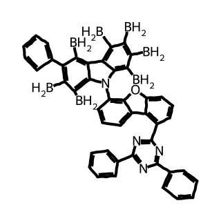 Bc1c(B)c(B)c2c(c1B)c1c(B)c(-c3ccccc3)c(B)c(B)c1n2-c1cccc2c1oc1cccc(-c3nc(-c4ccccc4)nc(-c4ccccc4)n3)c12